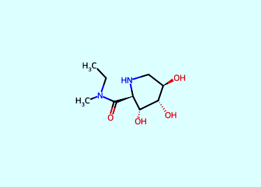 CCN(C)C(=O)[C@H]1NC[C@@H](O)[C@H](O)[C@@H]1O